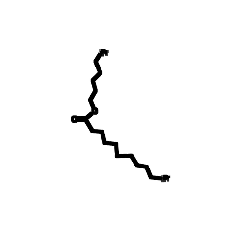 CC(C)CCCCCCCCCC(=O)OCCCCCC(C)C